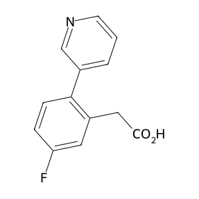 O=C(O)Cc1cc(F)ccc1-c1cccnc1